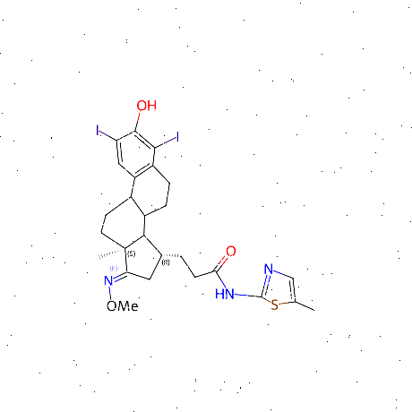 CO/N=C1\C[C@@H](CCC(=O)Nc2ncc(C)s2)C2C3CCc4c(cc(I)c(O)c4I)C3CC[C@]12C